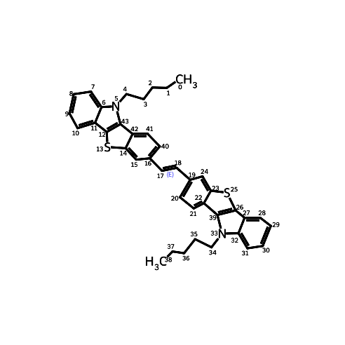 CCCCCn1c2ccccc2c2sc3cc(/C=C/c4ccc5c(c4)sc4c6ccccc6n(CCCCC)c54)ccc3c21